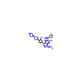 CCc1cc(-c2cnc(N)c3nc(CC)c(NC4CCC(C)(C)C4)nc23)ccc1N1CCC(N2CCN(C)CC2)CC1